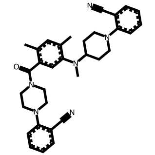 Cc1cc(C)c(N(C)C2CCN(c3ccccc3C#N)CC2)cc1C(=O)N1CCN(c2ccccc2C#N)CC1